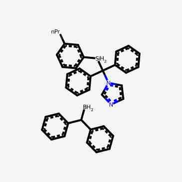 BC(c1ccccc1)c1ccccc1.CCCc1cccc([SiH2]C(c2ccccc2)(c2ccccc2)n2ccnc2)c1